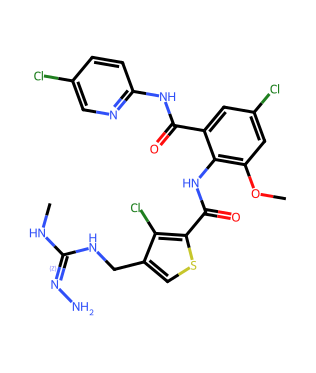 CN/C(=N/N)NCc1csc(C(=O)Nc2c(OC)cc(Cl)cc2C(=O)Nc2ccc(Cl)cn2)c1Cl